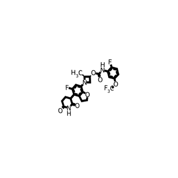 C[C@H]1[C@H](OC(=O)Nc2cc(OC(F)(F)F)ccc2F)CN1c1cc(F)c(C2CCC(=O)NC2=O)c2c1OCC2